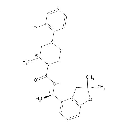 C[C@@H]1CN(c2ccncc2F)CCN1C(=O)N[C@H](C)c1cccc2c1CC(C)(C)O2